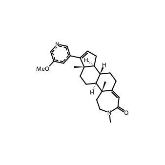 COc1cncc(C2=CC[C@H]3[C@@H]4CCC5=CC(=O)N(C)CC[C@]5(C)[C@H]4CC[C@]23C)c1